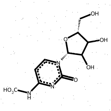 O=C(O)Nc1ccn([C@@H]2O[C@H](CO)C(O)C2O)c(=O)n1